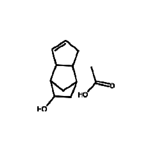 CC(=O)O.OC1CC2CC1C1C=CCC21